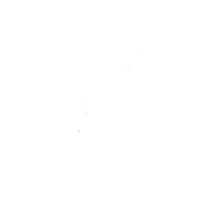 C[C@@H](Oc1ccc(CC2CC2)nc1)c1cnn(-c2ccc(C(=O)NC[C@H](O)CO)c(F)c2)n1